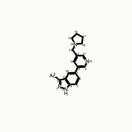 CC(=O)c1n[nH]c2ccc(-c3cncc(CN4CCCC4)c3)cc12